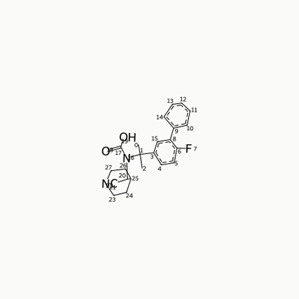 CC(C)(c1ccc(F)c(-c2ccccc2)c1)N(C(=O)O)C1CN2CCC1CC2